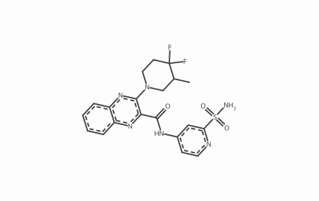 CC1CN(c2nc3ccccc3nc2C(=O)Nc2ccnc(S(N)(=O)=O)c2)CCC1(F)F